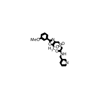 COc1cccc(-c2nc(CS(=O)(=O)CC(=O)NCc3cccnc3)c(C)o2)c1